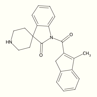 CC1=C(C(=O)N2C(=O)C3(CCNCC3)c3ccccc32)Cc2ccccc21